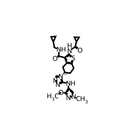 COc1nn(C)cc1Nc1nncn1[C@H]1CCc2sc(NC(=O)C3CC3)c(C(=O)NCC3CC3)c2C1